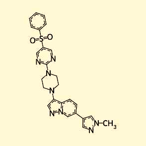 Cn1cc(-c2ccc3c(N4CCN(c5ncc(S(=O)(=O)c6ccccc6)cn5)CC4)cnn3c2)cn1